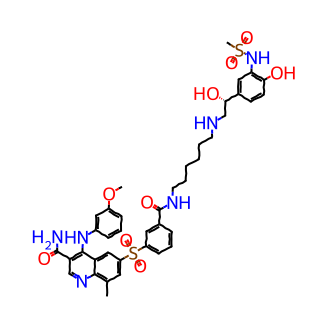 COc1cccc(Nc2c(C(N)=O)cnc3c(C)cc(S(=O)(=O)c4cccc(C(=O)NCCCCCCNC[C@H](O)c5ccc(O)c(NS(C)(=O)=O)c5)c4)cc23)c1